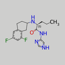 CCC[C@H](NC1CCc2cc(F)cc(F)c2C1)C(=O)Nc1c[nH]cn1